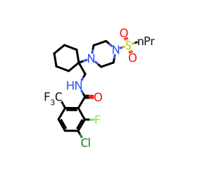 CCCS(=O)(=O)N1CCN(C2(CNC(=O)c3c(C(F)(F)F)ccc(Cl)c3F)CCCCC2)CC1